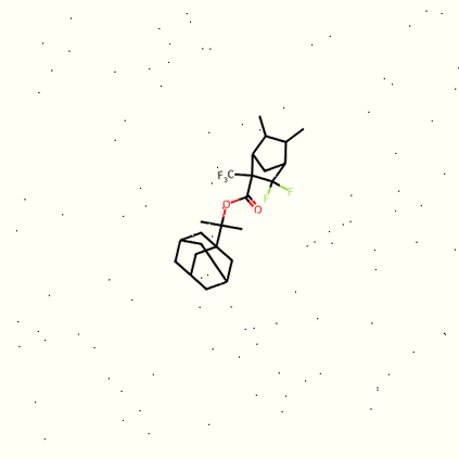 CC1C(C)C2CC1C(F)(F)C2(C(=O)OC(C)(C)C12CC3CC(CC(C3)C1)C2)C(F)(F)F